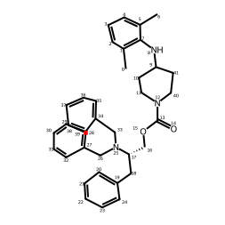 Cc1cccc(C)c1NC1CCN(C(=O)OC[C@H](Cc2ccccc2)N(Cc2ccccc2)Cc2ccccc2)CC1